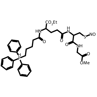 CCOC(=O)C(CCC(=O)NC(CSN=O)C(=O)NCC(=O)OC)NC(=O)CCCC[PH](c1ccccc1)(c1ccccc1)c1ccccc1